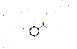 CON=C(C)c1cc[c]cc1Cl